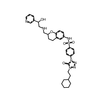 O=c1n(CCC2CCCCC2)nnn1-c1ccc(S(=O)(=O)Nc2ccc3c(c2)CCC(CNCC(O)c2cccnc2)O3)cc1